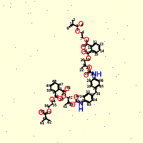 C=C(C)C(=O)OCCOC(=O)c1ccccc1C(=O)OCC(C)OC(=O)Nc1ccc(Cc2ccc(NC(=O)OC(C)COC(=O)c3ccccc3C(=O)OCCOC(=O)C(C)C)cc2)cc1